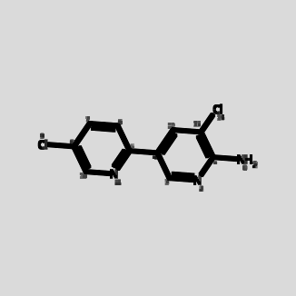 Nc1ncc(-c2ccc(Cl)cn2)cc1Cl